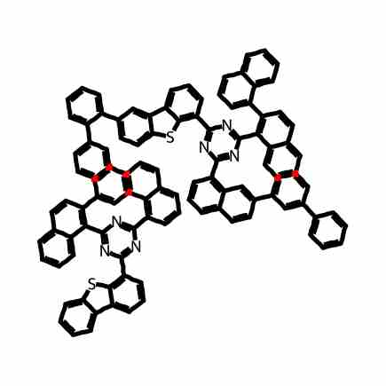 c1ccc(-c2cccc(-c3ccc4cccc(-c5nc(-c6c(-c7cccc8ccccc78)ccc7ccccc67)nc(-c6cccc7c6sc6ccc(-c8ccccc8-c8cccc(-c9ccc%10cccc(-c%11nc(-c%12c(-c%13ccccc%13)ccc%13ccccc%12%13)nc(-c%12cccc%13c%12sc%12ccccc%12%13)n%11)c%10c9)c8)cc67)n5)c4c3)c2)cc1